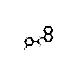 O=C(Oc1cccc2ccccc12)c1cncc(F)c1